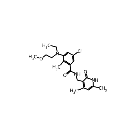 CCN(CCOC)c1cc(Cl)cc(C(=O)NCc2c(C)cc(C)[nH]c2=O)c1C